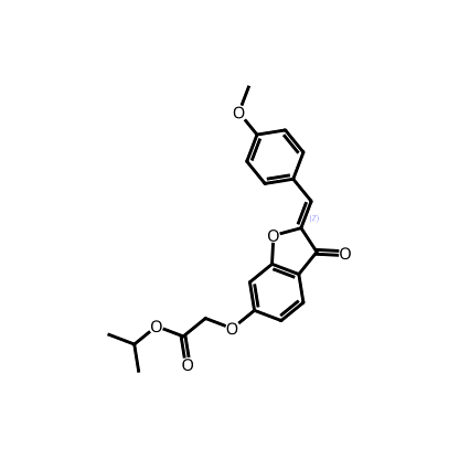 COc1ccc(/C=C2\Oc3cc(OCC(=O)OC(C)C)ccc3C2=O)cc1